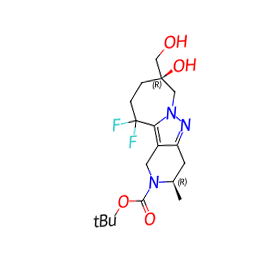 C[C@@H]1Cc2nn3c(c2CN1C(=O)OC(C)(C)C)C(F)(F)CC[C@](O)(CO)C3